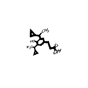 CC(c1cc(CCC(=O)O)cc(C(C)C2CC2)c1O)C1CC1